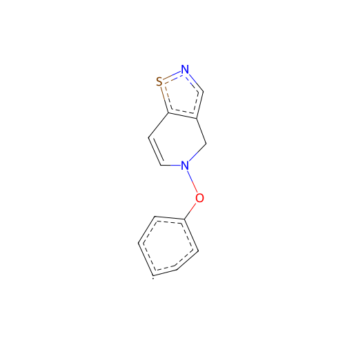 [c]1ccc(ON2C=Cc3sncc3C2)cc1